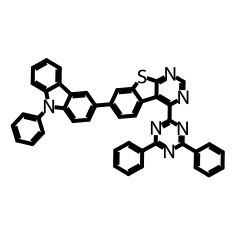 c1ccc(-c2nc(-c3ccccc3)nc(-c3ncnc4sc5cc(-c6ccc7c(c6)c6ccccc6n7-c6ccccc6)ccc5c34)n2)cc1